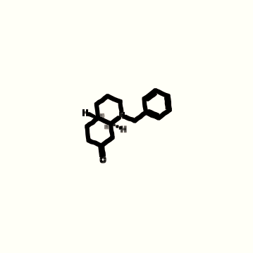 O=C1CC[C@@H]2CCCN(Cc3ccccc3)[C@H]2C1